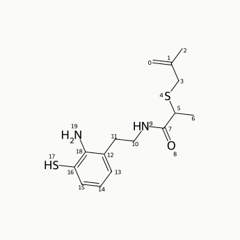 C=C(C)CSC(C)C(=O)NCCc1cccc(S)c1N